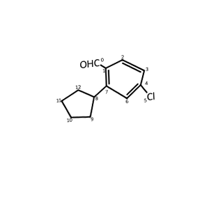 O=Cc1ccc(Cl)cc1C1CCCC1